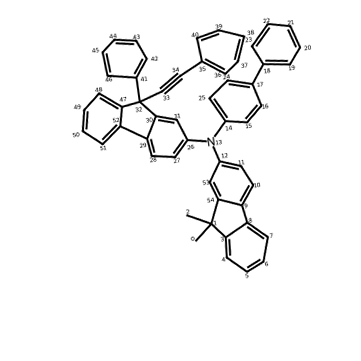 CC1(C)c2ccccc2-c2ccc(N(c3ccc(-c4ccccc4)cc3)c3ccc4c(c3)C(C#Cc3ccccc3)(c3ccccc3)c3ccccc3-4)cc21